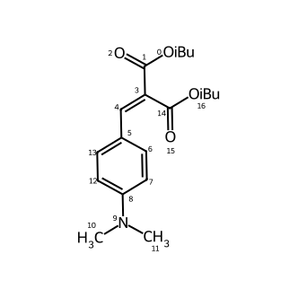 CC(C)COC(=O)C(=Cc1ccc(N(C)C)cc1)C(=O)OCC(C)C